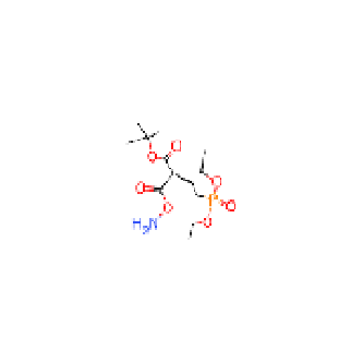 CCOP(=O)(CC[C@@H](C(=O)ON)C(=O)OC(C)(C)C)OCC